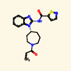 C=CC(=O)N1CCC[C@@H](n2c(NC(=O)c3ccns3)nc3ccccc32)CC1